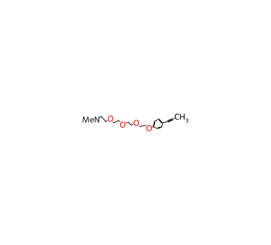 CC#Cc1ccc(OCCOCCOCCOCCNC)cc1